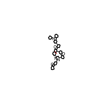 c1ccc(-c2cc(-c3cccc4oc5ccc(-c6cccc7oc8c(-c9ccc%10c(c9)c9ccccc9n%10-c9ccccc9)cccc8c67)cc5c34)nc(-c3ccc4c(c3)oc3ccccc34)n2)cc1